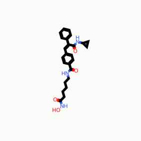 O=C(CCCCCNC(=O)c1ccc(C=C(C(=O)NC2CC2)c2ccccc2)cc1)NO